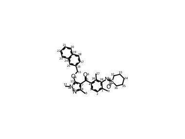 Cc1ccc(C(=O)c2c(C)nn(C)c2OCc2ccc3ccccc3c2)c(C)c1N=S1(=O)CCCCC1